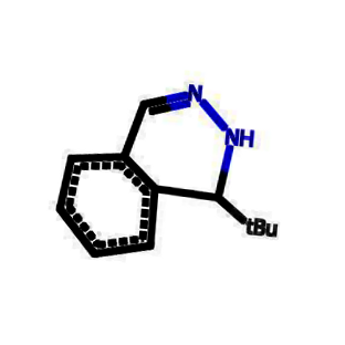 CC(C)(C)C1NN=Cc2ccccc21